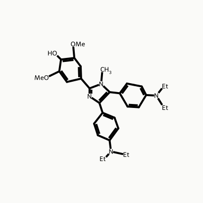 CCN(CC)c1ccc(-c2nc(-c3cc(OC)c(O)c(OC)c3)n(C)c2-c2ccc(N(CC)CC)cc2)cc1